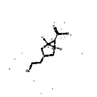 CC(C)(C)CCN1C[C@@H]2[C@H](C1)[C@H]2C(N)=O